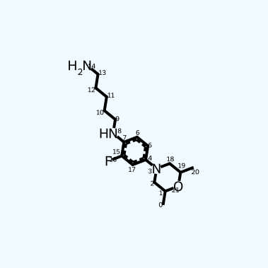 CC1CN(c2ccc(NCCCCCN)c(F)c2)CC(C)O1